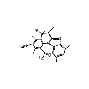 CCc1nc2c(C)cc(C)cc2n1-c1c(C(=O)O)c(C)c(C#N)c(C)c1C(=O)O